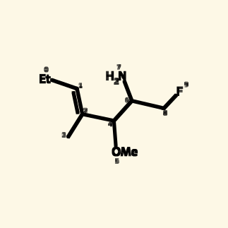 CC/C=C(\C)C(OC)C(N)CF